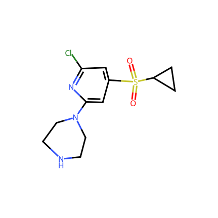 O=S(=O)(c1cc(Cl)nc(N2CCNCC2)c1)C1CC1